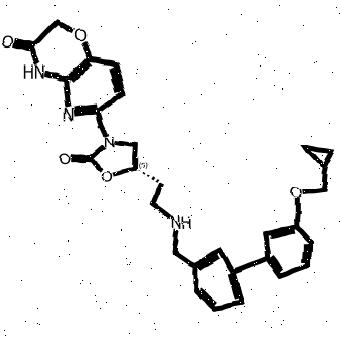 O=C1COc2ccc(N3C[C@H](CCNCc4cccc(-c5cccc(OCC6CC6)c5)c4)OC3=O)nc2N1